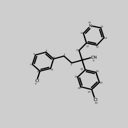 N#CC(CCc1cccc(Cl)c1)(Cc1cccnc1)c1ccc(Cl)cc1